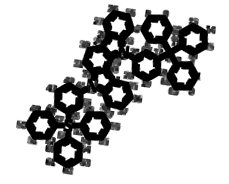 c1ccc(C(c2ccccc2)(c2ccccc2)c2cccc(-n3c4ccccc4c4ccc5c(c6ccccc6n5-c5cccc(S(c6ccccc6)(c6ccccc6)c6ccccc6)c5)c43)c2)cc1